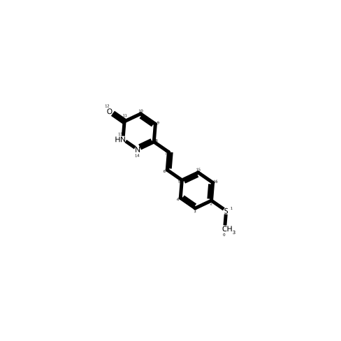 CSc1ccc(/C=C/c2ccc(=O)[nH]n2)cc1